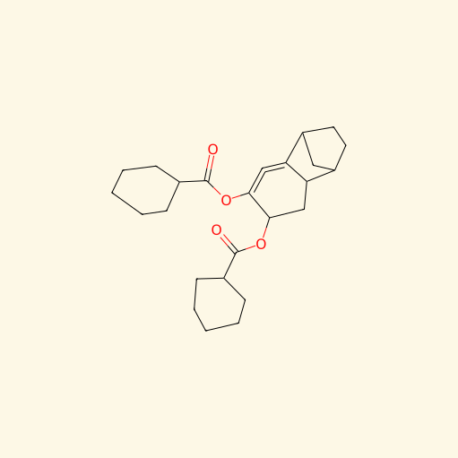 O=C(OC1=C=C2C3CCC(C3)C2CC1OC(=O)C1CCCCC1)C1CCCCC1